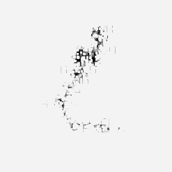 CC(C)(CCCCCc1cccc(CCCCCC(C)(C)C(=O)CCNC(=O)CCNC(=O)C(O)C(C)(C)COP(=O)(O)OP(=O)(O)OCC2OC(n3cnc4c(N)ncnc43)C(O)C2OP(=O)(O)O)c1)OC=O